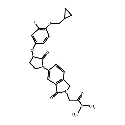 CN(C)C(=O)CN1Cc2ccc(N3CC[C@@H](Oc4cnc(OCC5CC5)c(F)c4)C3=O)cc2C1=O